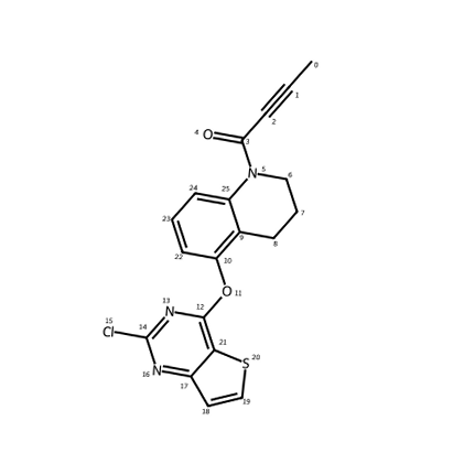 CC#CC(=O)N1CCCc2c(Oc3nc(Cl)nc4ccsc34)cccc21